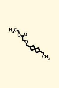 CCOC(=O)COCC1CC2(CC(CC)C2)C1